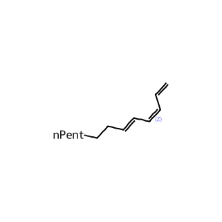 C=C/C=C\C=CCCCCCCC